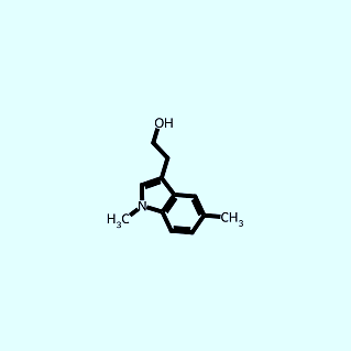 Cc1ccc2c(c1)c(CCO)cn2C